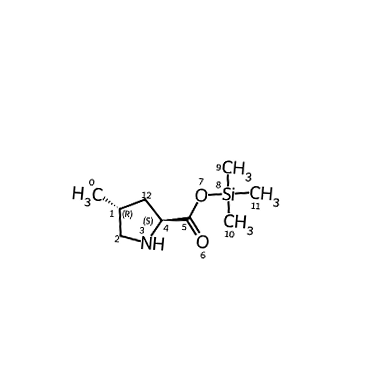 C[C@H]1CN[C@H](C(=O)O[Si](C)(C)C)C1